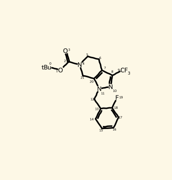 CC(C)(C)OC(=O)N1CCc2c(C(F)(F)F)nn(Cc3ccccc3F)c2C1